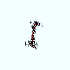 Cn1c(=O)n(C)c2cc(-c3cccc4cc(-c5ccc(CCC6CCN(c7ncc(C(=O)NC8C(C)(C)C(Oc9ccc(C#N)c(Cl)c9)C8(C)C)cn7)CC6)nc5)ncc34)ccc21